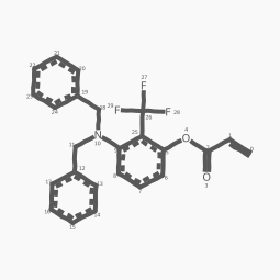 C=CC(=O)Oc1cccc(N(Cc2ccccc2)Cc2ccccc2)c1C(F)(F)F